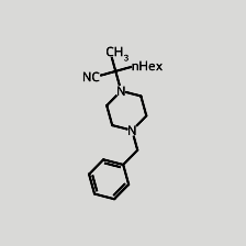 CCCCCCC(C)(C#N)N1CCN(Cc2ccccc2)CC1